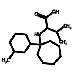 CC1CCCC(C2(NC(C(=O)O)C(C)C)CCCCCC2)C1